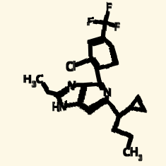 CCCC(c1cc2[nH]c(CC)nc2c(-c2ccc(C(F)(F)F)cc2Cl)n1)C1CC1